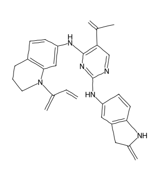 C=CC(=C)N1CCCc2ccc(Nc3nc(Nc4ccc5c(c4)CC(=C)N5)ncc3C(=C)C)cc21